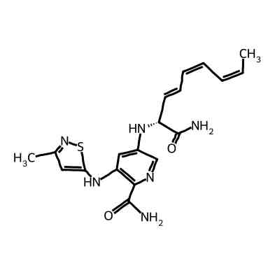 C\C=C/C=C\C=C\[C@@H](Nc1cnc(C(N)=O)c(Nc2cc(C)ns2)c1)C(N)=O